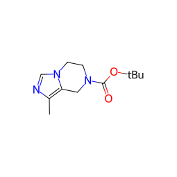 Cc1ncn2c1CN(C(=O)OC(C)(C)C)CC2